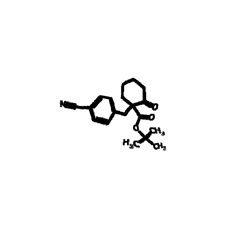 CC(C)(C)OC(=O)C1(Cc2ccc(C#N)cc2)CCCCC1=O